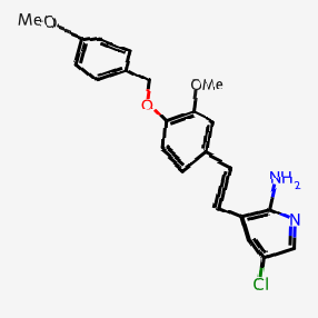 COc1ccc(COc2ccc(C=Cc3cc(Cl)cnc3N)cc2OC)cc1